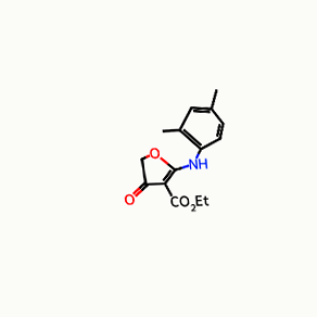 CCOC(=O)C1=C(Nc2ccc(C)cc2C)OCC1=O